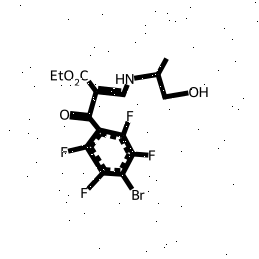 CCOC(=O)C(=CNC(C)CO)C(=O)c1c(F)c(F)c(Br)c(F)c1F